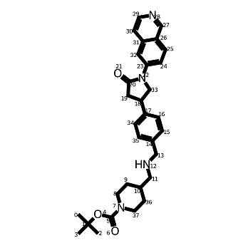 CC(C)(C)OC(=O)N1CCC(CNCc2ccc(C3CC(=O)N(c4ccc5cnccc5c4)C3)cc2)CC1